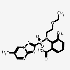 CCOCCN(c1c(C)cccc1C(=O)O)S(=O)(=O)c1nc2ncc(C)cn2n1